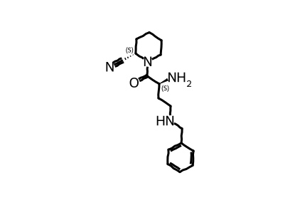 N#C[C@@H]1CCCCN1C(=O)[C@@H](N)CCNCc1ccccc1